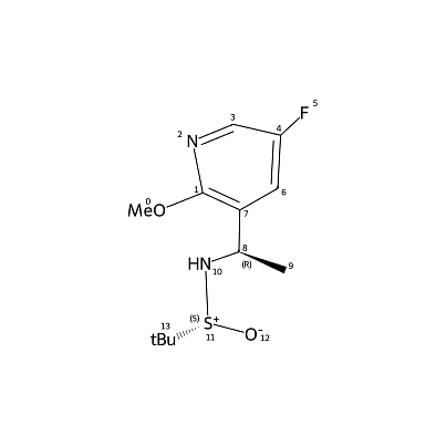 COc1ncc(F)cc1[C@@H](C)N[S@+]([O-])C(C)(C)C